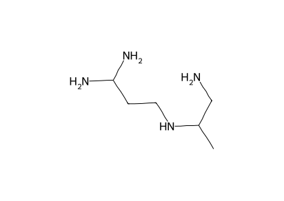 CC(CN)NCCC(N)N